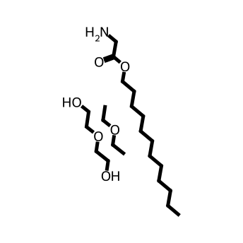 CCCCCCCCCCCCOC(=O)CN.CCOCC.OCCOCCO